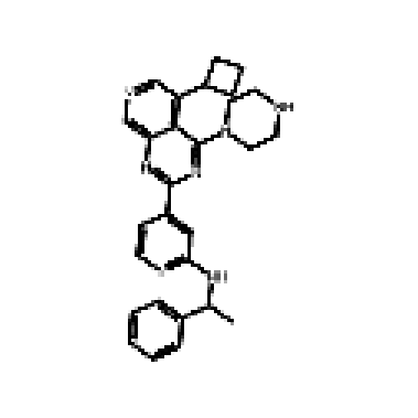 CC(Nc1cc(-c2nc(N3CCNCC3)c3c(C4CCC4)cncc3n2)ccn1)c1ccccc1